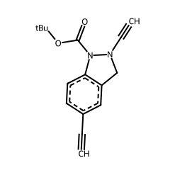 C#Cc1ccc2c(c1)CN(C#C)N2C(=O)OC(C)(C)C